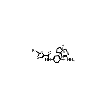 NC1=N[C@@]2(c3cc(NC(=O)c4csc(Br)n4)ccc3F)CCC[C@H]2CS1